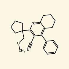 COCC1(c2nc3c(c(-c4ccccc4)c2C#N)CCCC3)CCCC1